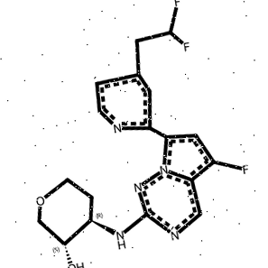 O[C@@H]1COCC[C@H]1Nc1ncc2c(F)cc(-c3cc(CC(F)F)ccn3)n2n1